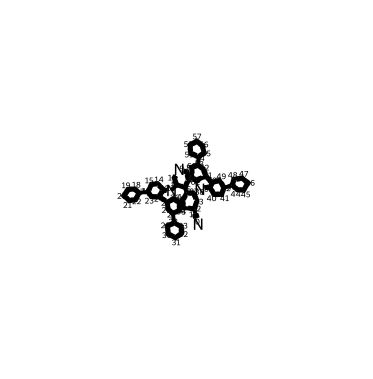 N#Cc1ccc(-c2ccncc2-n2c3ccc(-c4ccccc4)cc3c3cc(-c4ccccc4)ccc32)c(-n2c3ccc(-c4ccccc4)cc3c3cc(-c4ccccc4)ccc32)c1